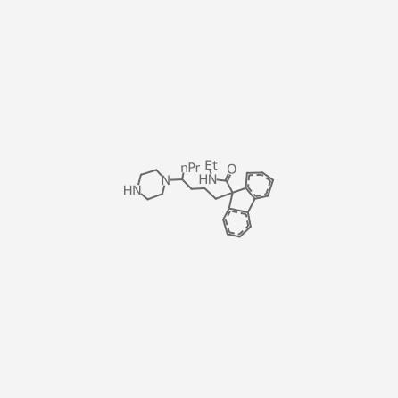 CCCC(CCCC1(C(=O)NCC)c2ccccc2-c2ccccc21)N1CCNCC1